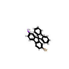 Brc1ccc2c(c1)C1(c3ccccc3-c3ccccc31)c1cc(I)ccc1-2